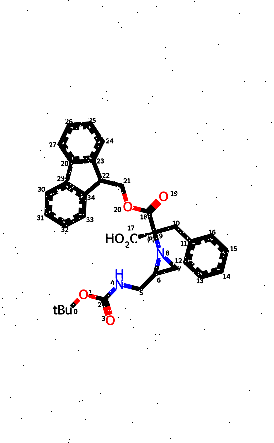 CC(C)(C)OC(=O)NCC1CN1[C@](Cc1ccccc1)(C(=O)O)C(=O)OCC1c2ccccc2-c2ccccc21